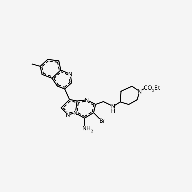 CCOC(=O)N1CCC(NCc2nc3c(-c4cnc5ccc(C)cc5c4)cnn3c(N)c2Br)CC1